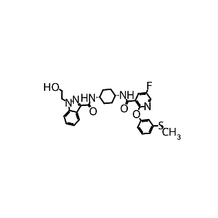 CSc1cccc(Oc2ncc(F)cc2C(=O)N[C@H]2CC[C@@H](NC(=O)c3nn(CCO)c4ccccc34)CC2)c1